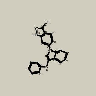 OC1OBc2cc(-n3cc(Sc4ccccc4)c4ccccc43)ccc21